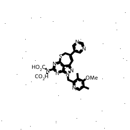 COc1c(C)cnc(Cn2nc3c4c(nc(N(C(=O)O)C(=O)O)nc42)SCC(c2cncnc2)=C3)c1C